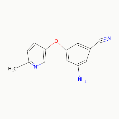 Cc1ccc(Oc2cc(N)cc(C#N)c2)cn1